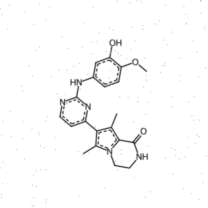 COc1ccc(Nc2nccc(-c3c(C)c4n(c3C)CCNC4=O)n2)cc1O